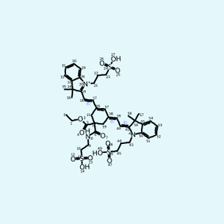 CCOC(=O)C1(C(=O)NCCS(=O)(=O)O)CC(/C=C/C2=[N+](CCCS(=O)(=O)O)c3ccccc3C2(C)C)=CC(=C/C=C2/N(CCCS(=O)(=O)O)c3ccccc3C2(C)C)/C1